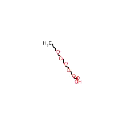 CCCCCOCCOCCOCCOCCOCC(=O)O